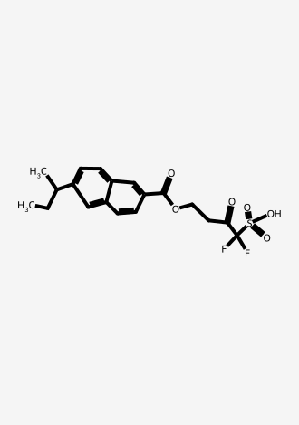 CCC(C)c1ccc2cc(C(=O)OCCC(=O)C(F)(F)S(=O)(=O)O)ccc2c1